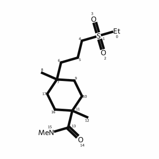 CCS(=O)(=O)CCCC1(C)CCC(C)(C(=O)NC)CC1